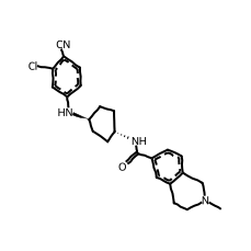 CN1CCc2cc(C(=O)N[C@H]3CC[C@H](Nc4ccc(C#N)c(Cl)c4)CC3)ccc2C1